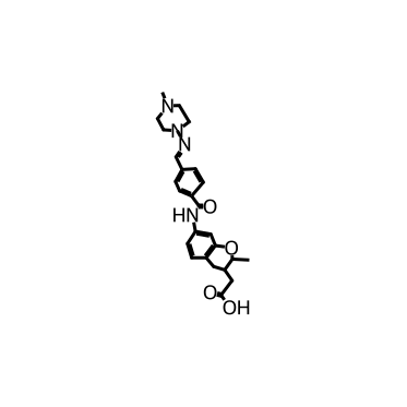 CC1Oc2cc(NC(=O)c3ccc(C=NN4CCN(C)CC4)cc3)ccc2CC1CC(=O)O